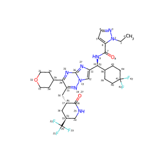 CCn1nccc1C(=O)N[C@H](c1cn2nc(C[C@H]3C[C@H](C(F)(F)F)CNC3=O)c(C3CCOCC3)nc2n1)C1CCC(F)(F)CC1